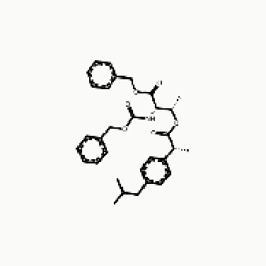 CC(C)Cc1ccc([C@@H](C)C(=O)O[C@@H](C)[C@H](NC(=O)OCc2ccccc2)C(=O)OCc2ccccc2)cc1